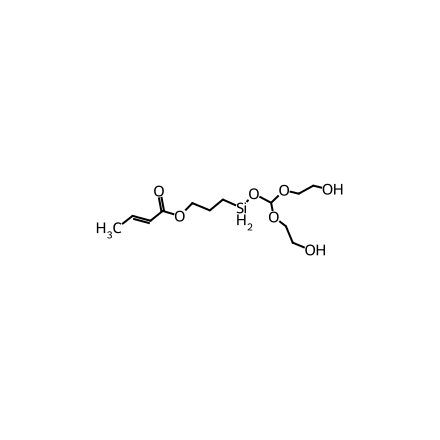 CC=CC(=O)OCCC[SiH2]OC(OCCO)OCCO